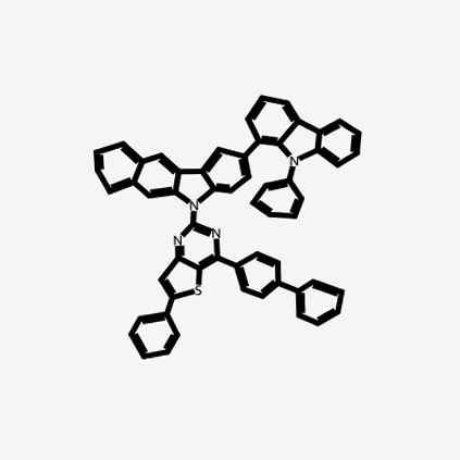 c1ccc(-c2ccc(-c3nc(-n4c5ccc(-c6cccc7c8ccccc8n(-c8ccccc8)c67)cc5c5cc6ccccc6cc54)nc4cc(-c5ccccc5)sc34)cc2)cc1